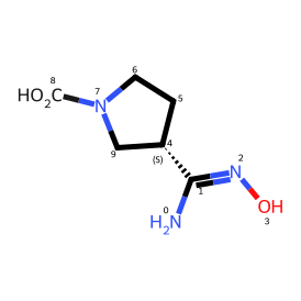 NC(=NO)[C@H]1CCN(C(=O)O)C1